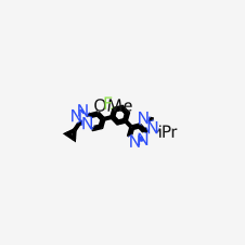 COc1c(-c2cc(-c3cnnc4c3ncn4C(C)C)ccc2F)ccn2c(C3CC3)nnc12